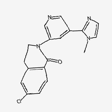 Cn1ccnc1-c1cncc(N2CCc3cc(Cl)ccc3C2=O)c1